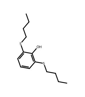 CCCCSc1cccc(SCCCC)c1O